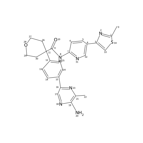 Cc1nc(-c2ccc(NC(=O)C3(c4ccc(-c5cnc(N)c(C)n5)cc4)CCOCC3)nc2)cs1